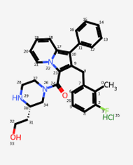 Cc1c(F)cccc1Cc1c(-c2ccccc2)c2ccccn2c1C(=O)N1CCN[C@@H](CCO)C1.Cl